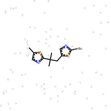 Cc1cnc(C(C)(C)Cc2cnc(C(C)(C)C)s2)s1